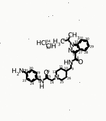 CC(C)n1nc(C(=O)NCC2CCN(CC(=O)Nc3ccc(N)cc3)CC2)c2ccccc21.Cl.Cl